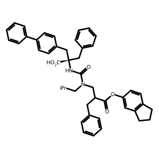 CC(C)CN(CC(Cc1ccccc1)C(=O)Oc1ccc2c(c1)CCC2)C(=O)N[C@@](Cc1ccccc1)(Cc1ccc(-c2ccccc2)cc1)C(=O)O